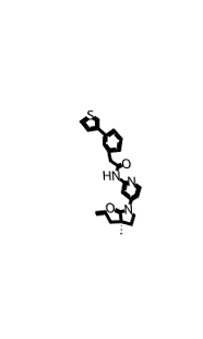 C=CC[C@]1(C)CCN(c2ccnc(NC(=O)Cc3cccc(-c4ccsc4)c3)c2)C1=O